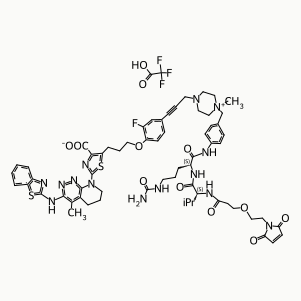 Cc1c(Nc2nc3ccccc3s2)nnc2c1CCCN2c1nc(C(=O)[O-])c(CCCOc2ccc(C#CCN3CC[N+](C)(Cc4ccc(NC(=O)[C@H](CCCNC(N)=O)NC(=O)[C@@H](NC(=O)CCOCCN5C(=O)C=CC5=O)C(C)C)cc4)CC3)cc2F)s1.O=C(O)C(F)(F)F